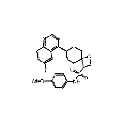 COc1ccc(NS(=O)(=O)C2COC23CCC(c2ccnc4ccc(F)cc24)CC3)cc1